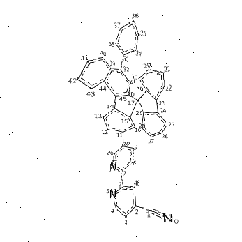 N#Cc1ccnc(-c2ccc(-c3ccc4c(c3)C3(c5ccccc5-c5ccccc53)c3cc(-c5ccccc5)c5ccccc5c3-4)cn2)c1